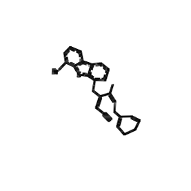 C#C/C=C(Cc1cccc2c1sc1c(Br)cccc12)\C(C)=C/CC1=CCCC=C1